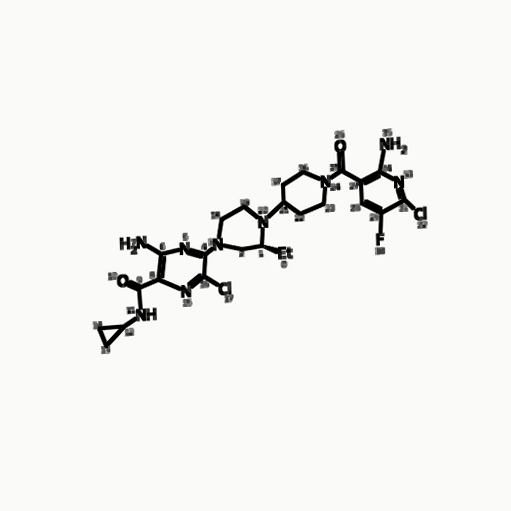 CC[C@H]1CN(c2nc(N)c(C(=O)NC3CC3)nc2Cl)CCN1C1CCN(C(=O)c2cc(F)c(Cl)nc2N)CC1